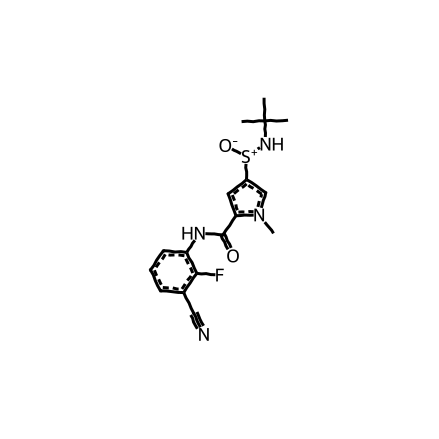 Cn1cc([S+]([O-])NC(C)(C)C)cc1C(=O)Nc1cccc(C#N)c1F